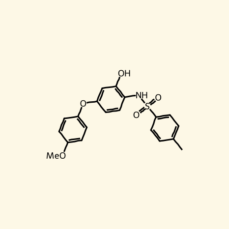 COc1ccc(Oc2ccc(NS(=O)(=O)c3ccc(C)cc3)c(O)c2)cc1